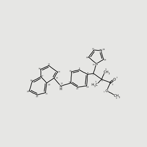 COC(=O)C(C)(C)C(c1ccc(Nc2cccc3ccccc23)cc1)n1ccnc1